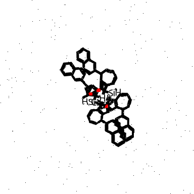 CC1=CC2=C(C=CC=CC2c2ccc3ccccc3c2)[C]12[SiH](C)[C]1(C(C)=CC3=C1C=CC=CC3c1ccc3ccccc3c1)[Hf]21([Cl])([Cl])[C]2(C(C)=CC3=C2C=CC=CC3c2ccc3ccccc3c2)[SiH](C)[C]12C(C)=CC1=C2C=CC=CC1c1ccc2ccccc2c1